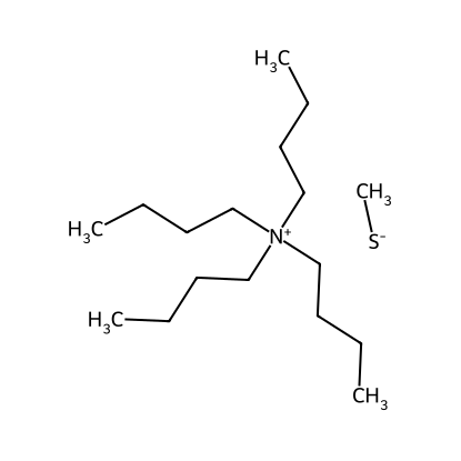 CCCC[N+](CCCC)(CCCC)CCCC.C[S-]